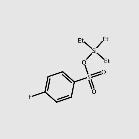 CC[Si](CC)(CC)OS(=O)(=O)c1ccc(F)cc1